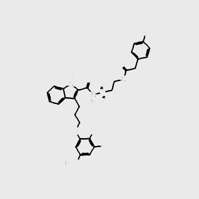 CCc1ccc(CC(=O)NCCS(=O)(=O)NC(=O)c2[nH]c3ccccc3c2CCCOc2cc(C)cc(C)c2Cl)cc1